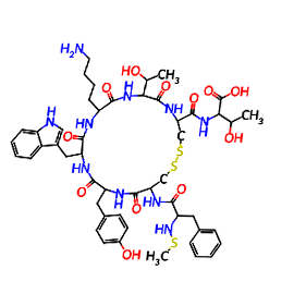 CSNC(Cc1ccccc1)C(=O)NC1CSSCC(C(=O)NC(C(=O)O)C(C)O)NC(=O)C(C(C)O)NC(=O)C(CCCCN)NC(=O)C(Cc2c[nH]c3ccccc23)NC(=O)C(Cc2ccc(O)cc2)NC1=O